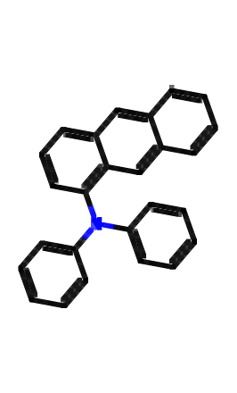 [c]1cccc2cc3c(N(c4ccccc4)c4ccccc4)cccc3cc12